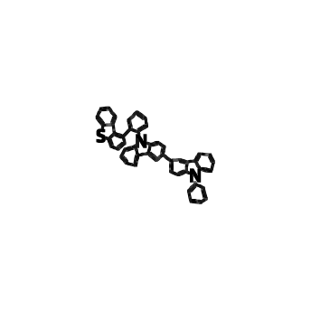 c1ccc(-n2c3ccccc3c3cc(-c4ccc5c(c4)c4ccccc4n5-c4ccccc4-c4cccc5sc6ccccc6c45)ccc32)cc1